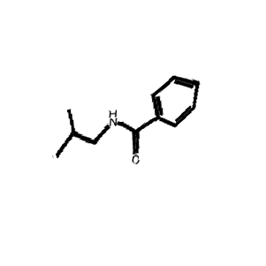 [CH2]C(C)CNC(=O)c1ccccc1